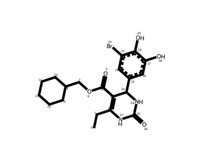 CCC1=C(C(=O)OCC2CCCCC2)C(c2cc(O)c(O)c(Br)c2)NC(=O)N1